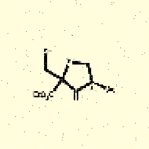 CCOC(=O)C1(CS)N[C@H](C(C)=O)CS1